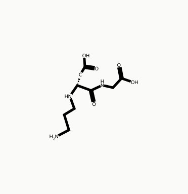 NCCCN[C@H](CC(=O)O)C(=O)NCC(=O)O